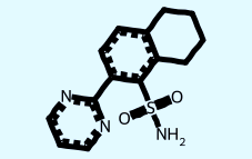 NS(=O)(=O)c1c(-c2ncccn2)ccc2c1CCCC2